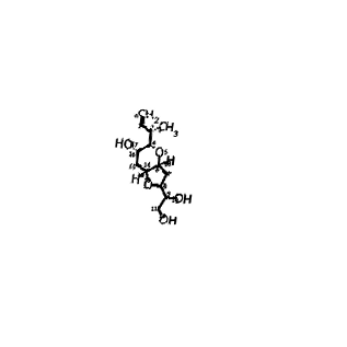 C=C[C@H](C)[C@@H]1O[C@@H]2CC([C@@H](O)CO)O[C@@H]2C[C@@H]1O